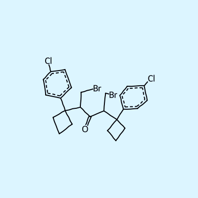 O=C(C(CBr)C1(c2ccc(Cl)cc2)CCC1)C(CBr)C1(c2ccc(Cl)cc2)CCC1